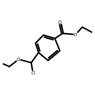 CCOC(=O)c1ccc(C(Cl)OCC)cc1